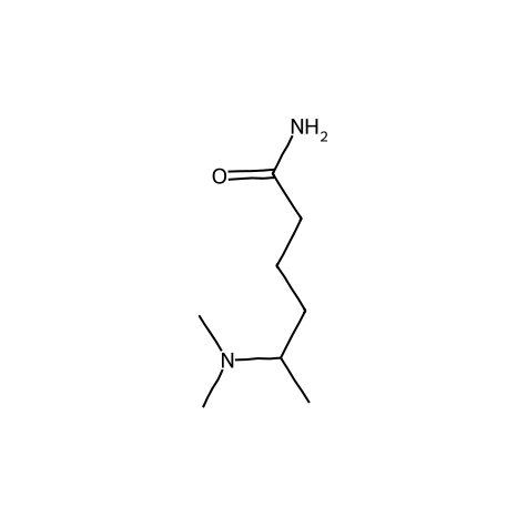 CC(CCCC(N)=O)N(C)C